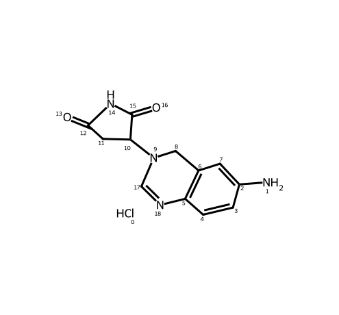 Cl.Nc1ccc2c(c1)CN(C1CC(=O)NC1=O)C=N2